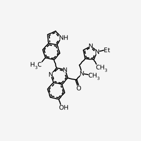 CCn1ncc(CN(C)C(=O)c2nc(-c3cc4[nH]ccc4cc3C)nc3ccc(O)cc23)c1C